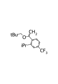 C=C(OCC(C)(C)C)c1ccc(C(F)(F)F)cc1C(C)C